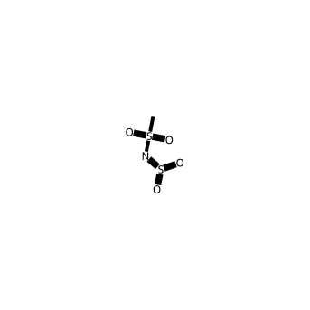 CS(=O)(=O)N=S(=O)=O